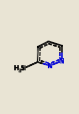 [SiH3]c1cccnn1